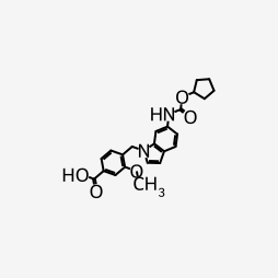 COc1cc(C(=O)O)ccc1Cn1ccc2ccc(NC(=O)OC3CCCC3)cc21